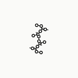 Cc1ccc(N(c2ccc(-n3c(C)c(-c4ccccc4)c4cc(-c5ccc6c(c5)c(-c5ccccc5)c(C)n6-c5ccc(N(c6ccc(C)cc6)c6cccc(-c7ccccc7)c6)cc5)ccc43)cc2)c2cccc(-c3ccccc3)c2)cc1